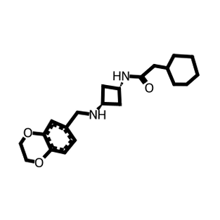 O=C(CC1CCCCC1)N[C@H]1C[C@H](NCc2ccc3c(c2)OCCO3)C1